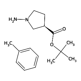 CC(C)(C)OC(=O)[C@@H]1CCN(N)C1.Cc1ccccc1